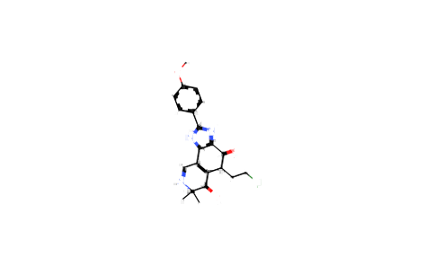 COc1ccc(-c2nc3c([nH]2)C2=C(C(=O)C(C)(C)N=C2)C(CCCl)C3=O)cc1